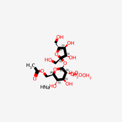 CC(=O)OC[C@H]1O[C@H](O[C@]2(CO)O[C@H](CO)[C@@H](O)[C@@H]2O)[C@H](O)[C@@H](O)[C@@H]1O.O.O.O.[NaH]